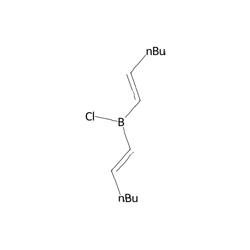 CCCCC=CB(Cl)C=CCCCC